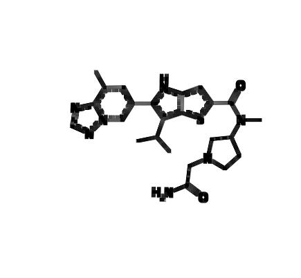 Cc1cc(-c2[nH]c3cc(C(=O)N(C)C4CCN(CC(N)=O)C4)sc3c2C(C)C)cn2ncnc12